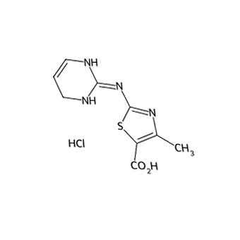 Cc1nc(N=C2NC=CCN2)sc1C(=O)O.Cl